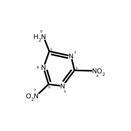 Nc1nc([N+](=O)[O-])nc([N+](=O)[O-])n1